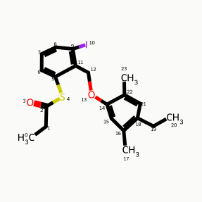 CCC(=O)Sc1cccc(I)c1COc1cc(C)c(CC)cc1C